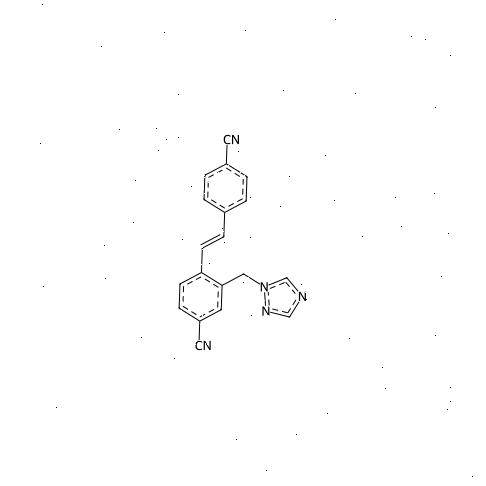 N#Cc1ccc(/C=C/c2ccc(C#N)cc2Cn2cncn2)cc1